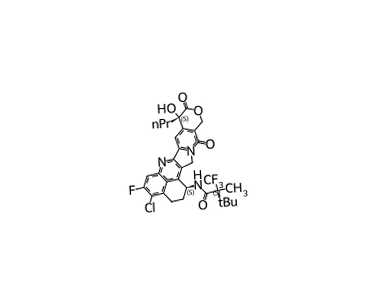 CCC[C@@]1(O)C(=O)OCc2c1cc1n(c2=O)Cc2c-1nc1cc(F)c(Cl)c3c1c2[C@@H](NC(=O)[C@](C)(C(C)(C)C)C(F)(F)F)CC3